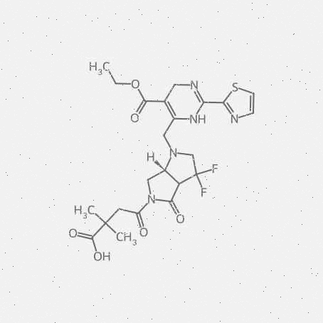 CCOC(=O)C1=C(CN2CC(F)(F)C3C(=O)N(C(=O)CC(C)(C)C(=O)O)C[C@@H]32)NC(c2nccs2)=NC1